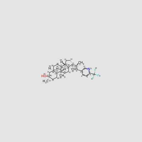 C[C@@H](Cc1ccc(C(F)(F)F)nc1)[C@H]1CC[C@H]2[C@@H]3CC[C@@H]4C[C@](C)(O)CC[C@]4(C)[C@H]3CC[C@]12C